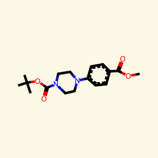 COC(=O)c1ccc(N2CCN(C(=O)OC(C)(C)C)CC2)cc1